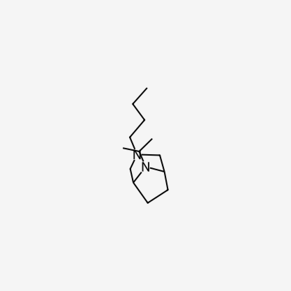 CCCCN1CC2CCC(C1)N2C(C)C